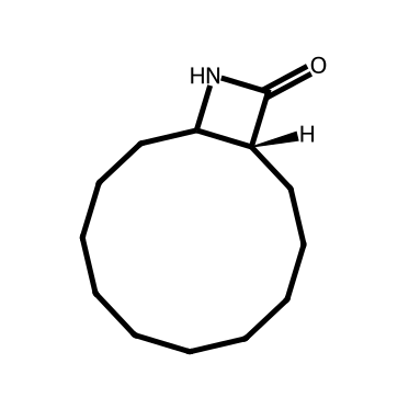 O=C1NC2CCCCCCCCCC[C@@H]12